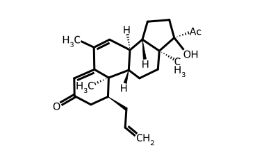 C=CC[C@H]1CC(=O)C=C2C(C)=C[C@@H]3[C@H](CC[C@@]4(C)[C@H]3CC[C@]4(O)C(C)=O)[C@]21C